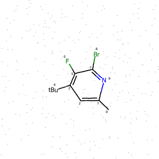 Cc1cc(C(C)(C)C)c(F)c(Br)n1